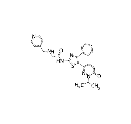 CC(C)n1nc(-c2sc(NC(=O)CNCc3ccncc3)nc2-c2ccccc2)ccc1=O